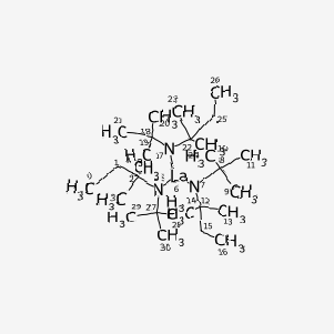 CCC(C)(C)[N]([La]([N](C(C)(C)C)C(C)(C)CC)[N](C(C)(C)C)C(C)(C)CC)C(C)(C)C